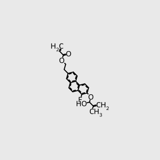 C=CC(=O)OCCc1ccc2c(ccc3c(F)c(OC(O)C(=C)C)ccc32)c1